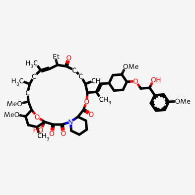 CCC1/C=C(\C)CC(C)CC(OC)C2OC(O)(C(=O)C(=O)N3CCCCC3C(=O)OC(C(C)=CC3CCC(OCC(O)c4cccc(OC)c4)C(OC)C3)C(C)CCC1=O)C(C)CC2OC